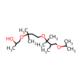 CC(O)COC(C)(C)CCOC(C)(C)C(C)COC(C)C